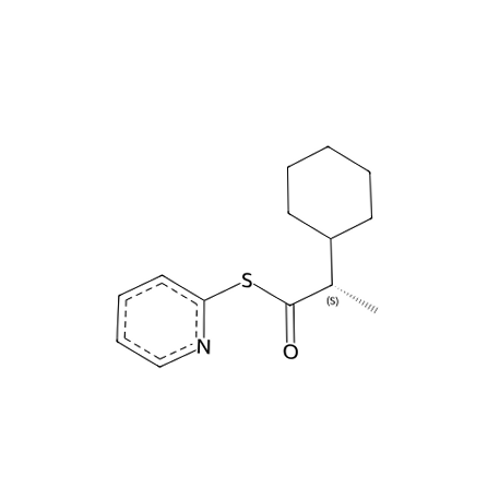 C[C@H](C(=O)Sc1ccccn1)C1CCCCC1